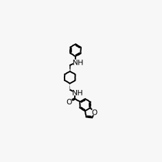 O=C(NC[C@H]1CC[C@H](CNc2ccccc2)CC1)c1ccc2occc2c1